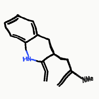 C=C(CC1Cc2ccccc2NC1=C)NC